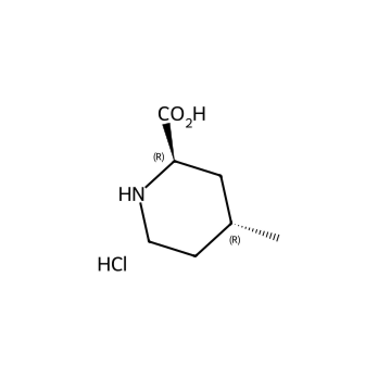 C[C@@H]1CCN[C@@H](C(=O)O)C1.Cl